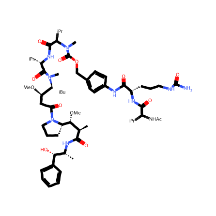 CC[C@H](C)[C@@H]([C@@H](CC(=O)N1CCC[C@H]1[C@H](OC)[C@@H](C)C(=O)N[C@H](C)[C@@H](O)c1ccccc1)OC)N(C)C(=O)[C@@H](NC(=O)C(C(C)C)N(C)C(=O)OCc1ccc(NC(=O)[C@H](CCCNC(N)=O)NC(=O)C(NC(C)=O)C(C)C)cc1)C(C)C